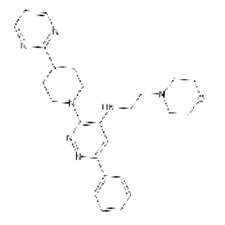 c1ccc(-c2cc(NCCN3CCOCC3)c(N3CCN(c4ncccn4)CC3)nn2)cc1